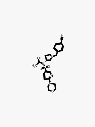 CC(C)N([C@@H]1CCN(Cc2ccc(C#N)cc2)C1)S(=O)(=O)c1ccc(N2CCOCC2)nc1